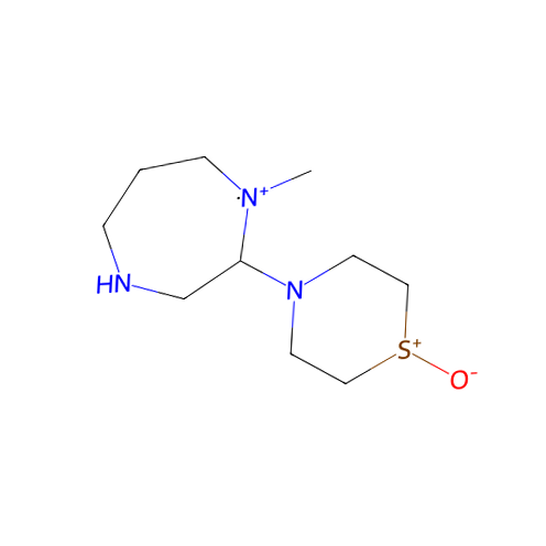 C[N+]1CCCNCC1N1CC[S+]([O-])CC1